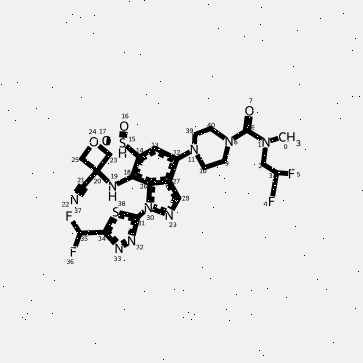 CN(CC(F)F)C(=O)N1CCN(c2cc([SH](=O)=O)c(NC3(C#N)COC3)c3c2cnn3-c2nnc(C(F)F)s2)CC1